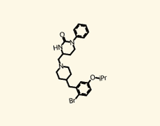 CC(C)Oc1ccc(Br)c(CC2CCN(CC3CCN(c4ccccc4)C(=O)N3)CC2)c1